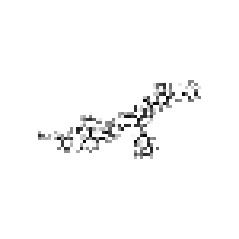 COc1ccc(CN2CCN(C3CC4(CCN(c5cc(Oc6cnc7[nH]ccc7c6)c(C(=O)NS(=O)(=O)c6ccc(NCC7CCOCC7)c([N+](=O)[O-])c6)cc5F)CC4)C3)C(c3ccccc3C(C)C)C2)cc1